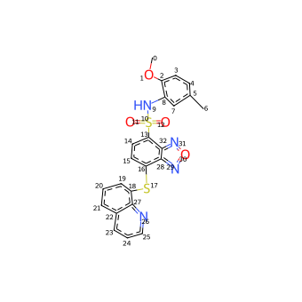 COc1ccc(C)cc1NS(=O)(=O)c1ccc(Sc2cccc3cccnc23)c2nonc12